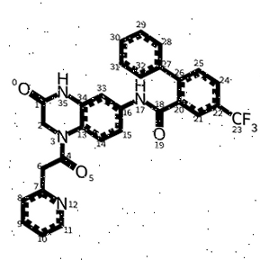 O=C1CN(C(=O)Cc2ccccn2)c2ccc(NC(=O)c3cc(C(F)(F)F)ccc3-c3ccccc3)cc2N1